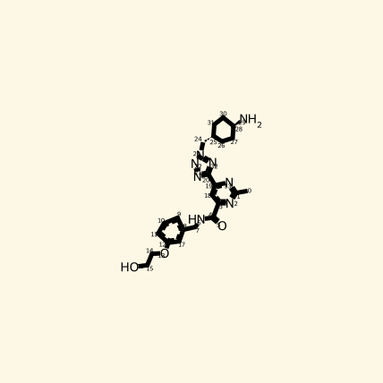 Cc1nc(C(=O)NCc2cccc(OCCO)c2)cc(-c2nnn(C[C@H]3CC[C@H](N)CC3)n2)n1